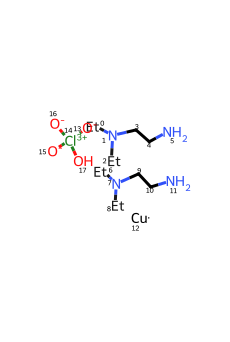 CCN(CC)CCN.CCN(CC)CCN.[Cu].[O-][Cl+3]([O-])([O-])O